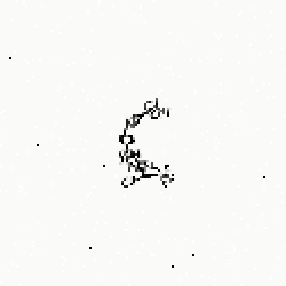 O=C(O)C1CN(Cc2ccc(-c3nc(-c4cn5cc(C(F)(F)F)cc(Cl)c5n4)no3)cc2)C1